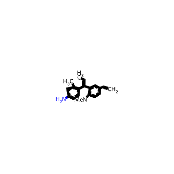 C=Cc1ccc(NC)c(C(=CC)c2ccc(N)cc2C)c1